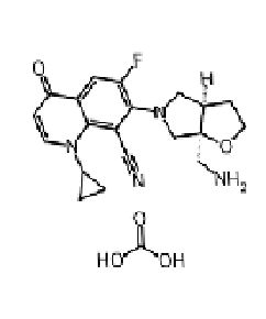 N#Cc1c(N2C[C@H]3CCO[C@@]3(CN)C2)c(F)cc2c(=O)ccn(C3CC3)c12.O=C(O)O